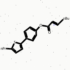 CCCC/C=C/C(=O)Oc1ccc(-c2ccc(CCC)s2)cc1